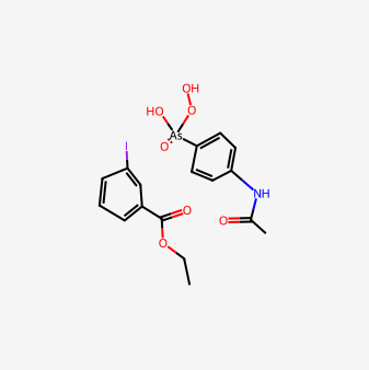 CC(=O)Nc1ccc([As](=O)(O)OO)cc1.CCOC(=O)c1cccc(I)c1